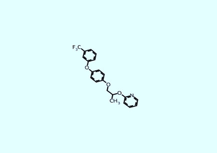 CC(COc1ccc(Oc2cccc(C(F)(F)F)c2)cc1)Oc1ccccn1